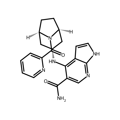 NC(=O)c1cnc2[nH]ccc2c1N[C@@H]1C[C@H]2CC[C@@H](C1)N2C(=O)c1ccccn1